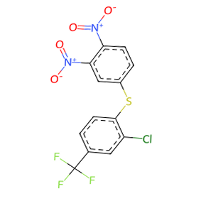 O=[N+]([O-])c1ccc(Sc2ccc(C(F)(F)F)cc2Cl)cc1[N+](=O)[O-]